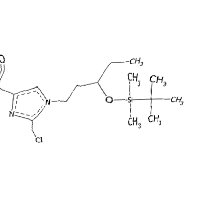 CCC(CCn1cc(N=O)nc1Cl)O[Si](C)(C)C(C)(C)C